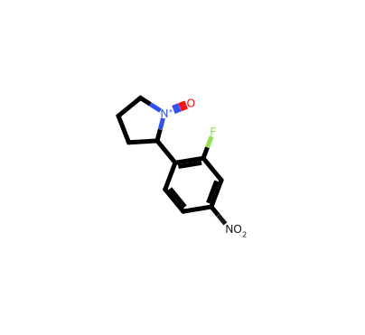 O=[N+]([O-])c1ccc(C2CCC[N+]2=O)c(F)c1